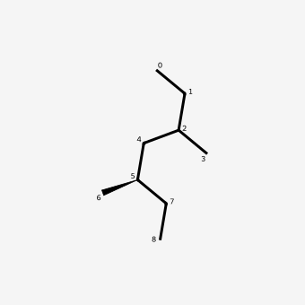 CCC(C)C[C@H](C)CC